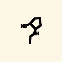 CCNC1CCC[C@@H]1O